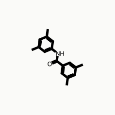 Cc1cc(C)cc(NC(=O)c2cc(C)cc(C)c2)c1